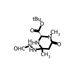 CN1C(=O)CC(C)(NNC=O)N[C@@H]1C(=O)OC(C)(C)C